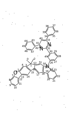 CC1(C)c2cc3oc4ccccc4c3cc2-c2cc3c4ccccc4n(-c4cccc(-c5nc(-c6ccccc6)cc(-c6ccccc6)n5)c4)c3cc21